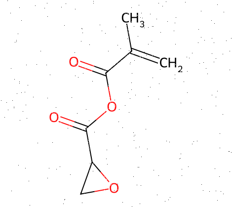 C=C(C)C(=O)OC(=O)C1CO1